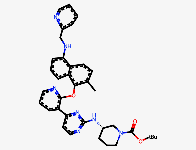 Cc1ccc2c(NCc3ccccn3)cccc2c1Oc1ncccc1-c1ccnc(N[C@H]2CCCN(C(=O)OC(C)(C)C)C2)n1